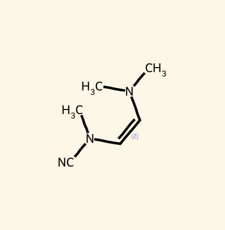 CN(C)/C=C\N(C)C#N